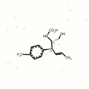 CC=C[C@@H](c1ccc(C(F)(F)F)cc1)[C@@H](CO)NC(=O)O